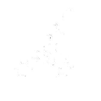 C=CCNC(=O)N[C@H]1CC[C@@]2(c3ccc4c(c3)OCO4)CCN(Cc3ccccc3)[C@H]2C1